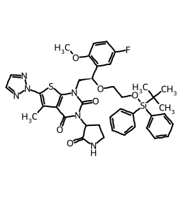 COc1ccc(F)cc1[C@H](Cn1c(=O)n(C2CCNC2=O)c(=O)c2c(C)c(-n3nccn3)sc21)OCCO[Si](c1ccccc1)(c1ccccc1)C(C)(C)C